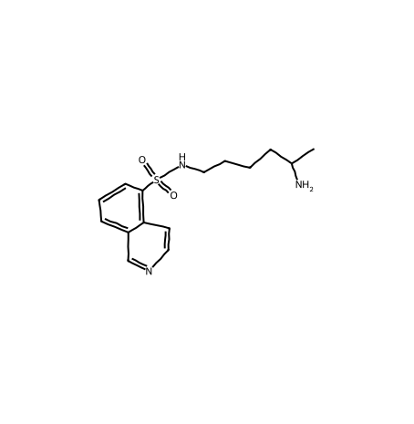 CC(N)CCCCNS(=O)(=O)c1cccc2cnccc12